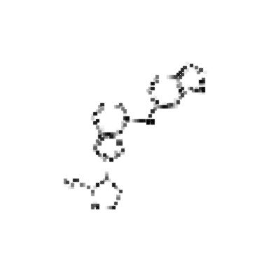 CC1NCCC1c1cc2c(Nc3ccc4scnc4c3)ccnc2s1